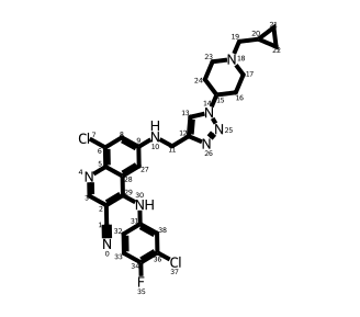 N#Cc1cnc2c(Cl)cc(NCc3cn(C4CCN(CC5CC5)CC4)nn3)cc2c1Nc1ccc(F)c(Cl)c1